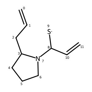 C=CCC1CCCN1C([S])C=C